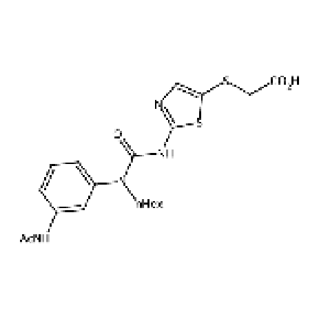 CCCCCCN(C(=O)Nc1ncc(SCC(=O)O)s1)c1cccc(NC(C)=O)c1